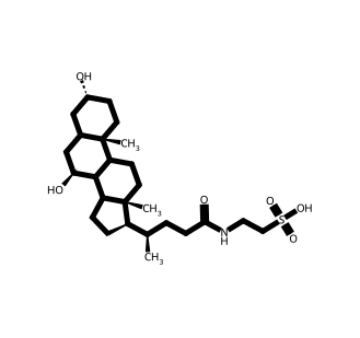 C[C@H](CCC(=O)NCCS(=O)(=O)O)[C@H]1CCC2C3C(CC[C@@]21C)[C@@]1(C)CC[C@@H](O)CC1C[C@@H]3O